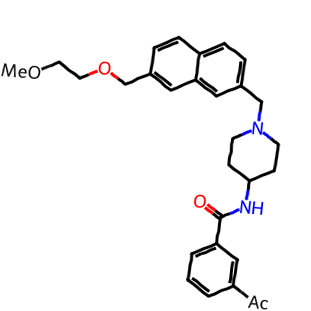 COCCOCc1ccc2ccc(CN3CCC(NC(=O)c4cccc(C(C)=O)c4)CC3)cc2c1